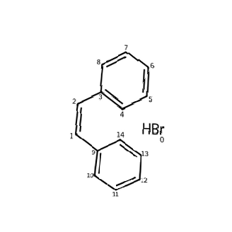 Br.C(=C/c1ccccc1)/c1ccccc1